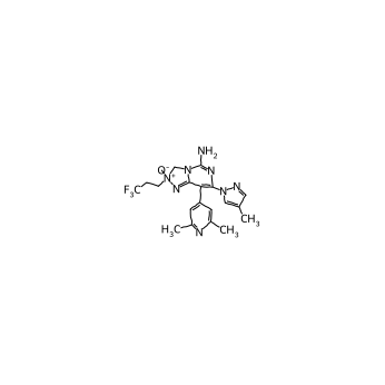 Cc1cnn(C2=C(c3cc(C)nc(C)c3)C3=N[N+]([O-])(CCC(F)(F)F)CN3C(N)=N2)c1